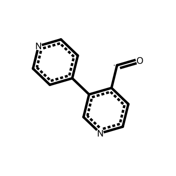 O=[C]c1ccncc1-c1ccncc1